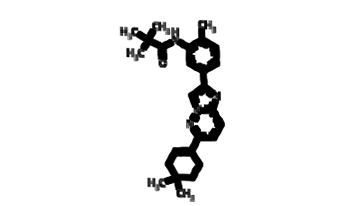 Cc1ccc(-c2cn3nc(C4=CCC(C)(C)CC4)ccc3n2)cc1NC(=O)C(C)(C)C